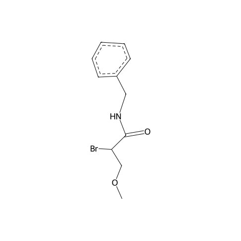 COCC(Br)C(=O)NCc1ccccc1